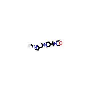 CC(C)N1CCC(CC(C)N2CCC(C(C)(C)N3CCOCC3)CC2)C1